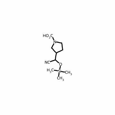 C[Si](C)(C)OC(C#N)C1CCN(C(=O)O)C1